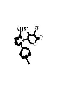 CCC1C(=O)OCC(n2c(-c3ccc(F)cc3)ccc2C(F)(F)F)C1O